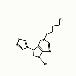 CCCCSc1cnc2c(c1)C(c1cn[nH]c1)CN2S